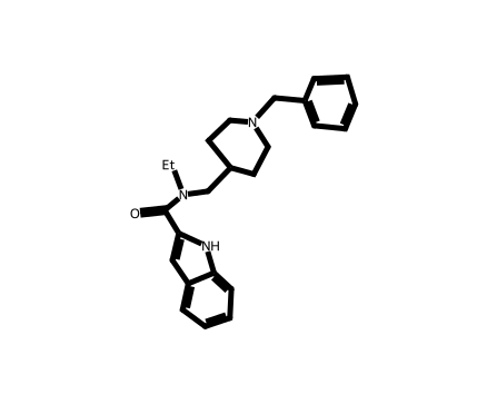 CCN(CC1CCN(Cc2ccccc2)CC1)C(=O)c1cc2ccccc2[nH]1